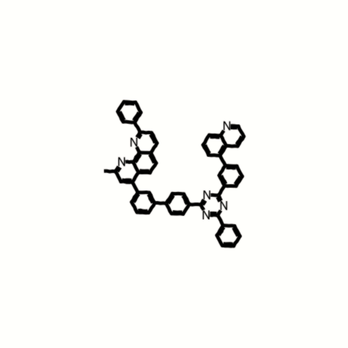 Cc1cc(-c2cccc(-c3ccc(-c4nc(-c5ccccc5)nc(-c5cccc(-c6cccc7ncccc67)c5)n4)cc3)c2)c2ccc3ccc(-c4ccccc4)nc3c2n1